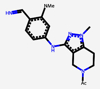 CNc1cc(Nc2nn(C)c3c2CN(C(C)=O)CC3)ccc1C=N